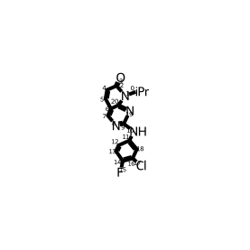 CC(C)n1c(=O)ccc2cnc(Nc3ccc(F)c(Cl)c3)nc21